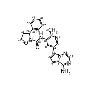 Cc1ncc(-c2ccc3c(N)ncnn23)cc1NC(=O)N1OCCC1c1ccccc1